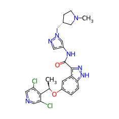 C[C@@H](Oc1ccc2[nH]nc(C(=O)Nc3cnn(C[C@@H]4CCN(C)C4)c3)c2c1)c1c(Cl)cncc1Cl